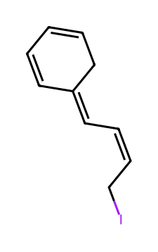 IC/C=C\C=C1\C=CC=CC1